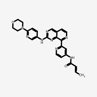 CC=CC(=O)Nc1ccnc(-c2nccc3cnc(Nc4ccc(N5CCOCC5)nc4)nc23)c1